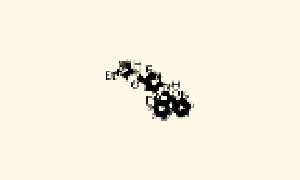 CCn1cc(NC(=O)c2cc3c(nc2F)nc(C(O)(c2ccccc2F)c2ccccc2F)n3CC)cn1